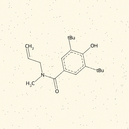 C=CCN(C)C(=O)c1cc(C(C)(C)C)c(O)c(C(C)(C)C)c1